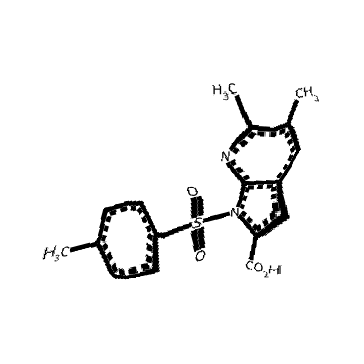 Cc1ccc(S(=O)(=O)n2c(C(=O)O)cc3cc(C)c(C)nc32)cc1